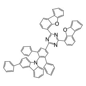 c1ccc(-c2ccc3c(c2)c2ccccc2n3-c2c(-c3ccccc3)cc(-c3nc(-c4cccc5c4oc4ccccc45)nc(-c4cccc5c4oc4ccccc45)n3)cc2-c2ccccc2)cc1